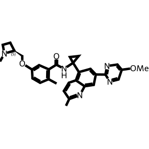 COc1cnc(-c2cc(C3(NC(=O)c4cc(OC[C@@H]5CCN5C)ccc4C)CC3)c3ccc(C)nc3c2)nc1